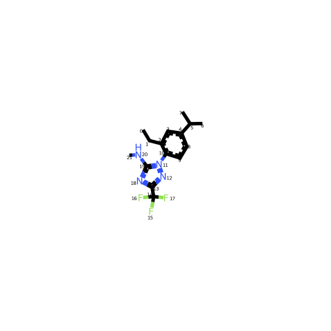 CCc1cc(C(C)C)ccc1-n1nc(C(F)(F)F)nc1NC